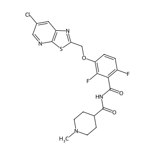 CN1CCC(C(=O)NC(=O)c2c(F)ccc(OCc3nc4cc(Cl)cnc4s3)c2F)CC1